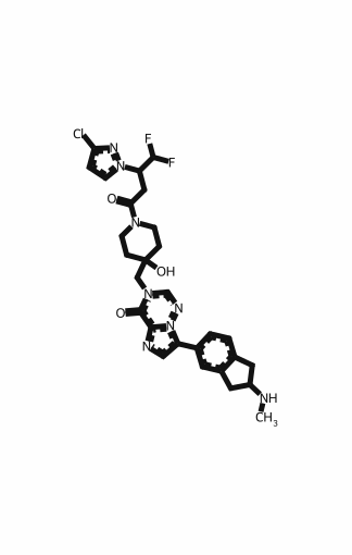 CNC1Cc2ccc(-c3cnc4c(=O)n(CC5(O)CCN(C(=O)CC(C(F)F)n6ccc(Cl)n6)CC5)cnn34)cc2C1